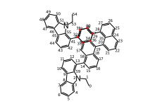 CCn1c2ccccc2c2cccc(-c3cccc4c(-c5cccc6cccc(-c7ccccc7)c56)c5cccc(-c6cccc7c8ccccc8n(CC)c67)c5cc34)c21